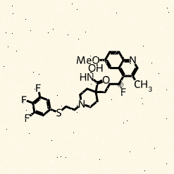 COc1ccc2ncc(C)c([C@H](F)CCC3(C(=O)NO)CCN(CCSc4cc(F)c(F)c(F)c4)CC3)c2c1